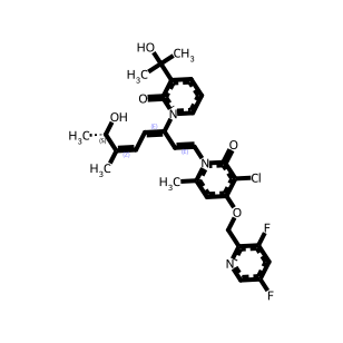 C/C(=C/C=C(\C=C\n1c(C)cc(OCc2ncc(F)cc2F)c(Cl)c1=O)n1cccc(C(C)(C)O)c1=O)[C@H](C)O